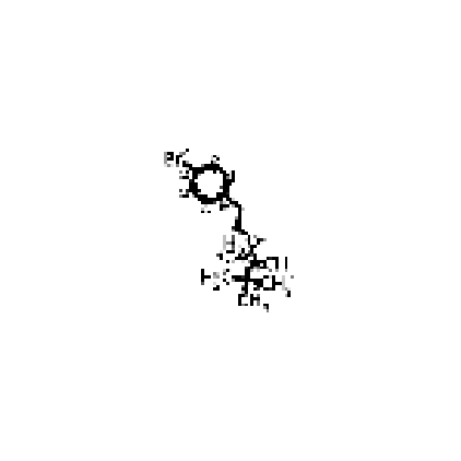 CC(C)(C)[Si](C)(C)OCCc1ccc(Br)cn1